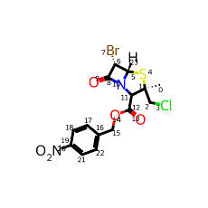 C[C@@]1(CCl)S[C@H]2[C@@H](Br)C(=O)N2C1C(=O)OCc1ccc([N+](=O)[O-])cc1